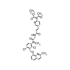 CCOC(=O)N(C(C)=O)c1ccc(C=CC(=O)NCC(=O)N(C)c2ccc(Cl)c(COc3cccc4ccc(C)nc34)c2Cl)cn1